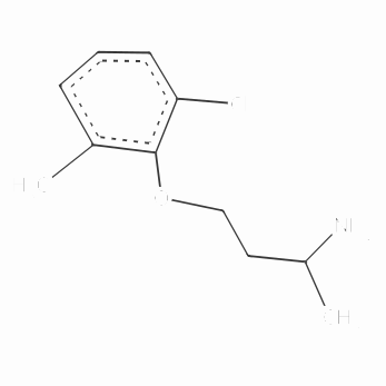 Cc1cccc(Cl)c1OCCC(C)N